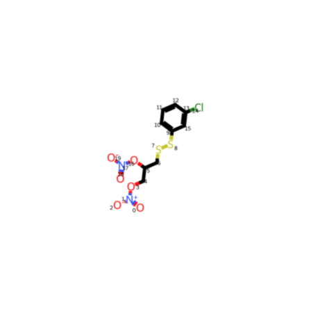 O=[N+]([O-])OCC(CSSc1cccc(Cl)c1)O[N+](=O)[O-]